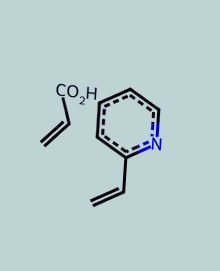 C=CC(=O)O.C=Cc1ccccn1